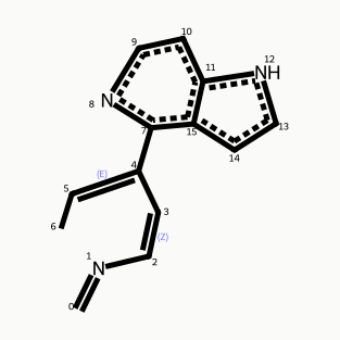 C=N/C=C\C(=C/C)c1nccc2[nH]ccc12